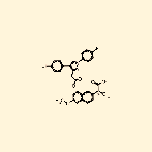 COc1ccc2cc([C@H](C)C(=O)O)ccc2c1.O=C(O)Cc1nn(-c2ccc(F)cc2)cc1-c1ccc(Cl)cc1